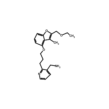 CCOCc1oc2cccc(OCCCc3ncccc3CN)c2c1C